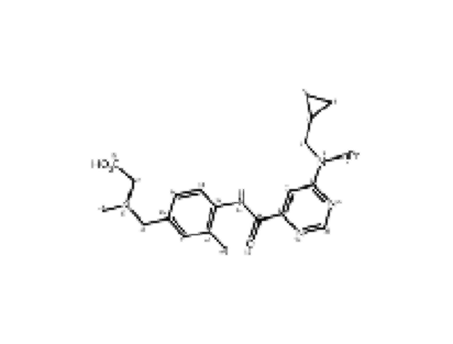 CCCN(CC1CC1)c1cc(C(=O)Nc2ccc(CN(C)CC(=O)O)cc2C)ncn1